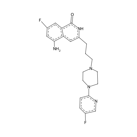 Nc1cc(F)cc2c(=O)[nH]c(CCCN3CCN(c4ccc(F)cn4)CC3)cc12